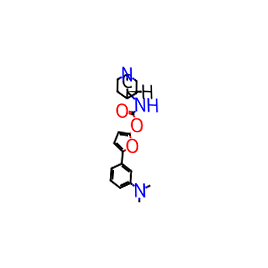 CN(C)c1cccc(-c2ccc(OC(=O)N[C@H]3CN4CCC3CC4)o2)c1